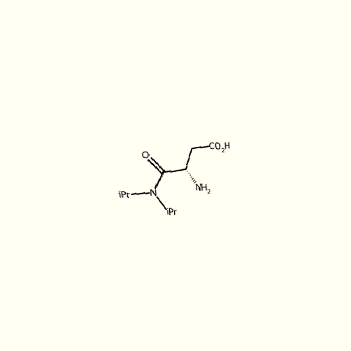 CC(C)N(C(=O)[C@@H](N)CC(=O)O)C(C)C